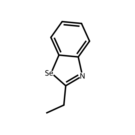 CCc1nc2ccccc2[se]1